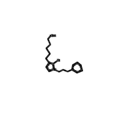 CCCCCCCCCCCCCCCn1cc[n+](CCCc2ccccc2)c1CC